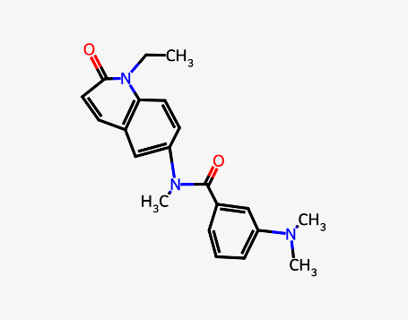 CCn1c(=O)ccc2cc(N(C)C(=O)c3cccc(N(C)C)c3)ccc21